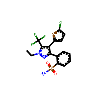 CCn1nc(-c2ccccc2S(N)(=O)=O)c(-c2ccc(Cl)s2)c1C(F)(F)F